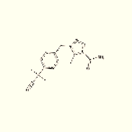 Cc1c(C(N)=O)cnn1Cc1ccc(C(C)(C)C#N)cc1